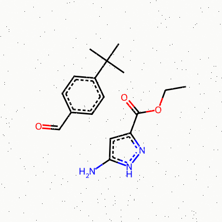 CC(C)(C)c1ccc(C=O)cc1.CCOC(=O)c1cc(N)[nH]n1